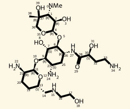 CN[C@@H]1[C@@H](O)[C@@H](O[C@@H]2[C@@H](O)[C@H](O[C@H]3O[C@H](CNCCO)CC[C@H]3N)[C@@H](N)C[C@H]2NC(=O)[C@@H](O)CCN)OC[C@]1(C)O